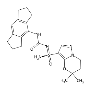 CC1(C)CCn2ncc([S@](N)(=O)=NC(=O)Nc3c4c(cc5c3CCC5)CCC4)c2O1